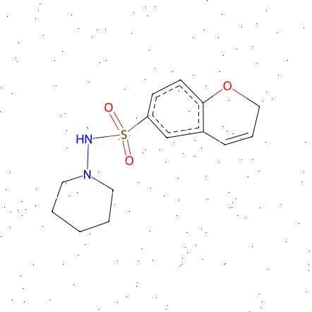 O=S(=O)(NN1CCCCC1)c1ccc2c(c1)C=CCO2